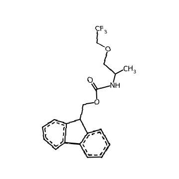 CC(COCC(F)(F)F)NC(=O)OCC1c2ccccc2-c2ccccc21